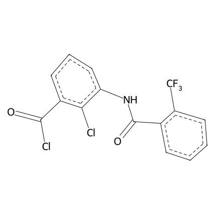 O=C(Nc1cccc(C(=O)Cl)c1Cl)c1ccccc1C(F)(F)F